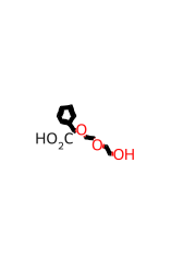 O=C(O)C(OCCOCCO)c1ccccc1